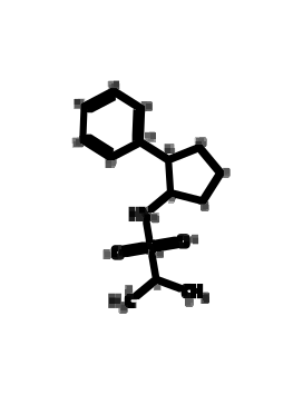 CC(C)S(=O)(=O)NC1CCCC1c1ccccc1